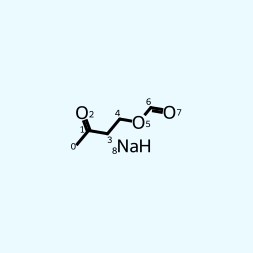 CC(=O)CCOC=O.[NaH]